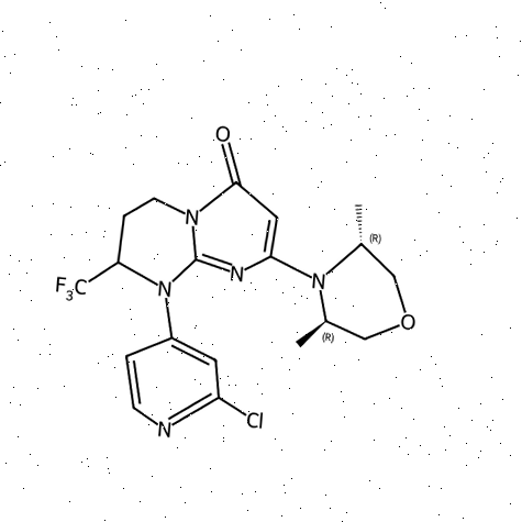 C[C@@H]1COC[C@@H](C)N1c1cc(=O)n2c(n1)N(c1ccnc(Cl)c1)C(C(F)(F)F)CC2